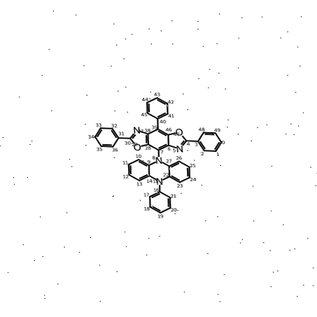 c1ccc(-c2nc3c(N4c5ccccc5N(c5ccccc5)c5ccccc54)c4oc(-c5ccccc5)nc4c(-c4ccccc4)c3o2)cc1